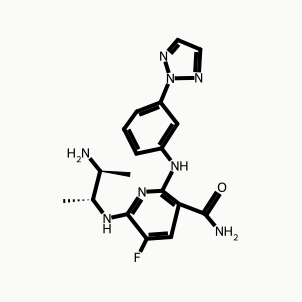 C[C@H](N)[C@@H](C)Nc1nc(Nc2cccc(-n3nccn3)c2)c(C(N)=O)cc1F